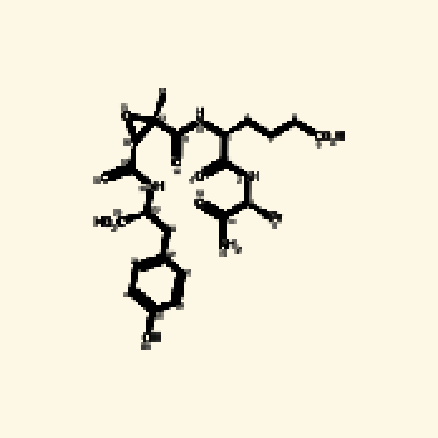 CC(C)[C@H](NC(=O)[C@H](CCCC(=O)O)NC(=O)[C@@]1(C)O[C@@H]1C(=O)N[C@@H](Cc1ccc(O)cc1)C(=O)O)C(N)=O